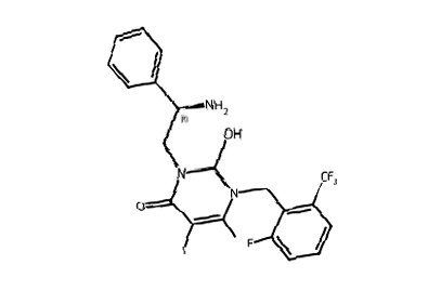 CC1=C(I)C(=O)N(C[C@H](N)c2ccccc2)C(O)N1Cc1c(F)cccc1C(F)(F)F